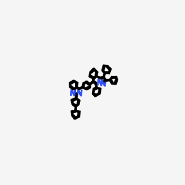 c1ccc(-c2ccc(-c3nc(-c4ccc(-c5c(-c6ccccc6)n6nc(-c7ccccc7)c(-c7ccccc7)c6c6ccccc56)cc4)c4ccccc4n3)cc2)cc1